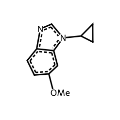 COc1ccc2ncn(C3CC3)c2c1